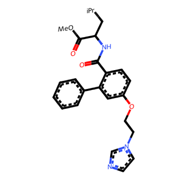 COC(=O)C(CC(C)C)NC(=O)c1ccc(OCCn2ccnc2)cc1-c1ccccc1